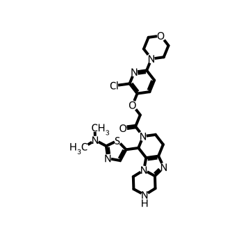 CN(C)c1ncc(C2c3c(nc4n3CCNC4)CCN2C(=O)COc2ccc(N3CCOCC3)nc2Cl)s1